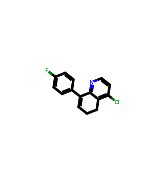 Fc1ccc(C2=CCCc3c(Cl)ccnc32)cc1